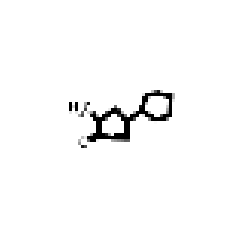 CC1CC(C2CCCCC2)C=CC1=O